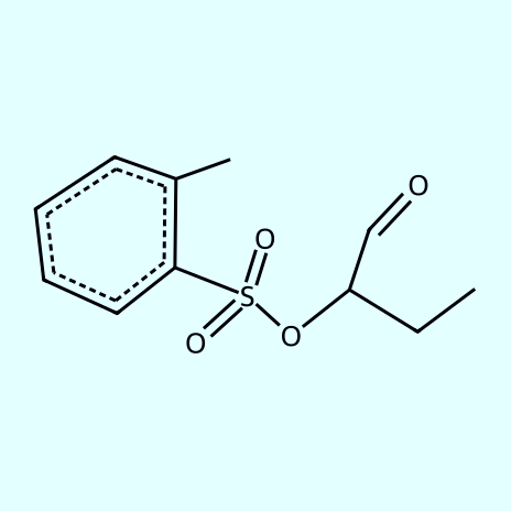 CCC(C=O)OS(=O)(=O)c1ccccc1C